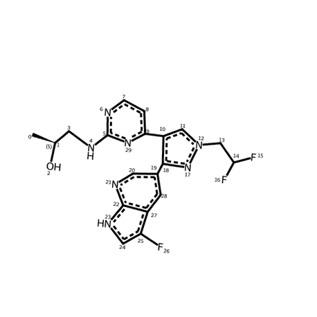 C[C@H](O)CNc1nccc(-c2cn(CC(F)F)nc2-c2cnc3[nH]cc(F)c3c2)n1